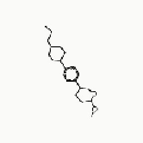 CCCC1CCC(c2ccc(C3CCC(OC)OC3)cc2)CC1